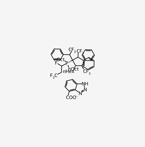 CCCCCCCC[P+](CCCCCCCC)(C(F)CC(F)(F)F)C(C(CCCCCC)C(c1ccccc1)C(F)(F)F)(C(c1ccccc1)C(F)(F)F)C(c1ccccc1)C(F)(F)F.O=C([O-])c1cccc2[nH]nnc12